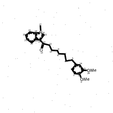 COc1ccc(CCCCCCCC(=O)c2cn(C)c3ccccc23)cc1OC